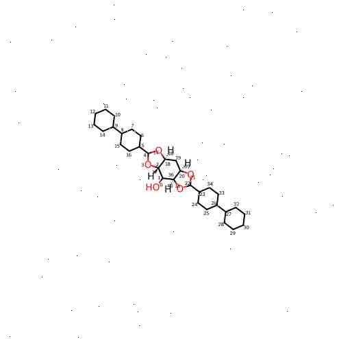 OC1[C@@H]2OC(C3CCC(C4CCCCC4)CC3)O[C@H]2C[C@H]2OC(C3CCC(C4CCCCC4)CC3)O[C@@H]12